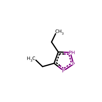 CCc1pp[pH]c1CC